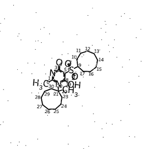 Cc1nc(=O)c(S(=O)(=O)C2CCCCCCCC2)c(O)n1C1(C)CCCCCCCC1